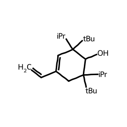 C=CC1=CC(C(C)C)(C(C)(C)C)C(O)C(C(C)C)(C(C)(C)C)C1